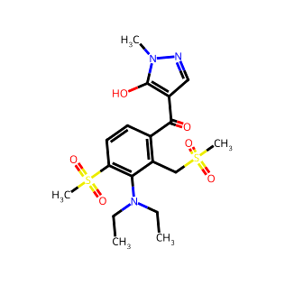 CCN(CC)c1c(S(C)(=O)=O)ccc(C(=O)c2cnn(C)c2O)c1CS(C)(=O)=O